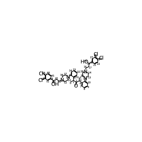 CC(C(=O)C(C)c1ccccc1N1CCN(CCC(O)c2ccc(Cl)c(Cl)c2)CC1)c1ccccc1N1CCN(CCC(O)c2ccc(Cl)c(Cl)c2)CC1